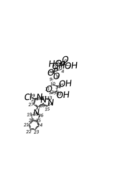 O=P(O)(O)CP(=O)(O)OC[C@H]1O[C@@H](c2ncc3c(N4Cc5ccccc5C4)cc(Cl)nn23)[C@H](O)[C@@H]1O